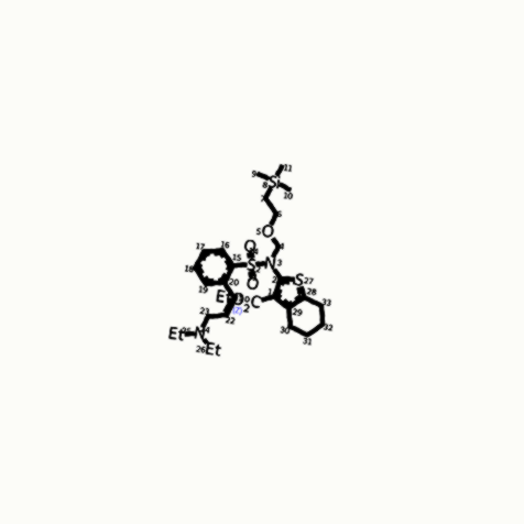 CCOC(=O)c1c(N(COCC[Si](C)(C)C)S(=O)(=O)c2ccccc2/C=C\CN(CC)CC)sc2c1CCCC2